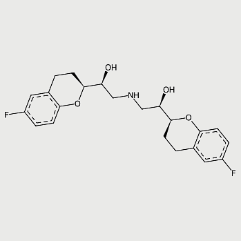 O[C@H](CNC[C@H](O)[C@@H]1CCc2cc(F)ccc2O1)[C@@H]1CCc2cc(F)ccc2O1